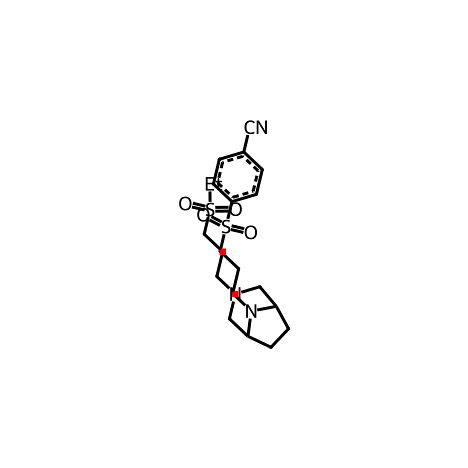 CCS(=O)(=O)CCCN1CC2CCC(C1)N2CCCS(=O)(=O)c1ccc(C#N)cc1